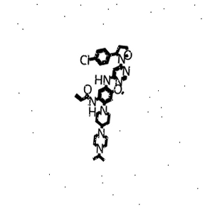 C=CC(=O)Nc1cc(Nc2cc(N3OCCC3c3ccc(Cl)cc3)ncn2)c(OC)cc1N1CCC(N2CCN(C(C)C)CC2)CC1